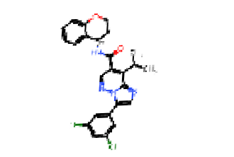 CC(C)c1c(C(=O)N[C@H]2CCOc3ccccc32)cnn2c(-c3cc(Cl)cc(Cl)c3)cnc12